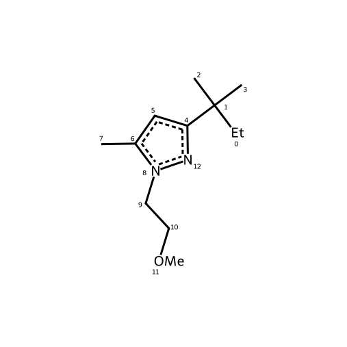 CCC(C)(C)c1cc(C)n(CCOC)n1